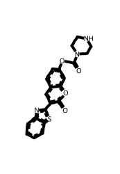 O=C(Oc1ccc2cc(-c3nc4ccccc4s3)c(=O)oc2c1)N1CCNCC1